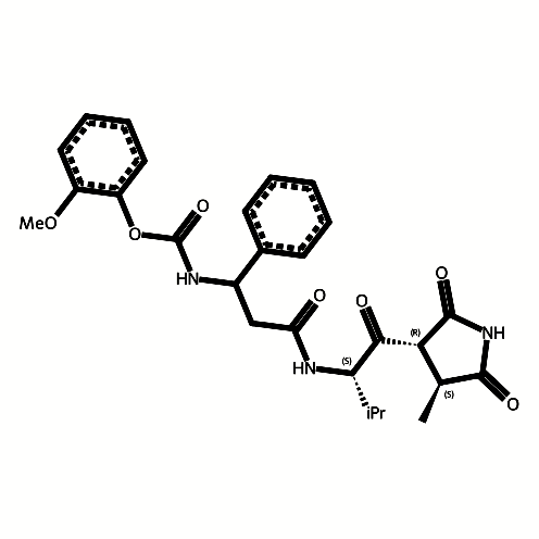 COc1ccccc1OC(=O)NC(CC(=O)N[C@H](C(=O)[C@@H]1C(=O)NC(=O)[C@H]1C)C(C)C)c1ccccc1